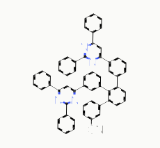 N#Cc1cccc(-c2cccc(-c3cccc(-c4cc(-c5ccccc5)nc(-c5ccccc5)n4)c3)c2-c2cccc(-c3cc(-c4ccccc4)nc(-c4ccccc4)n3)c2)c1